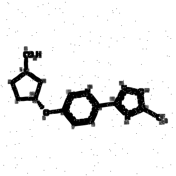 O=C(O)N1CC[C@@H](Oc2ccc(-c3noc(C(F)(F)F)n3)nc2)C1